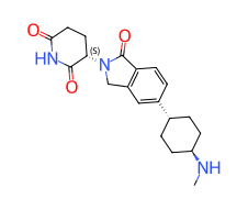 CN[C@H]1CC[C@H](c2ccc3c(c2)CN([C@H]2CCC(=O)NC2=O)C3=O)CC1